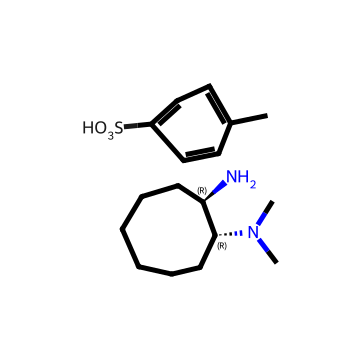 CN(C)[C@@H]1CCCCCC[C@H]1N.Cc1ccc(S(=O)(=O)O)cc1